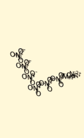 O=[N+]([O-])[O-].O=[N+]([O-])[O-].O=[N+]([O-])[O-].O=[N+]([O-])[O-].O=[N+]([O-])[O-].O=[N+]([O-])[O-].[Co+2].[Mn+2].[Ni+2]